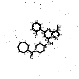 O=C(C1CCCCCC1)N1CCC(Nc2cc(-c3ccccc3Cl)nc3c(Br)cnn23)CC1